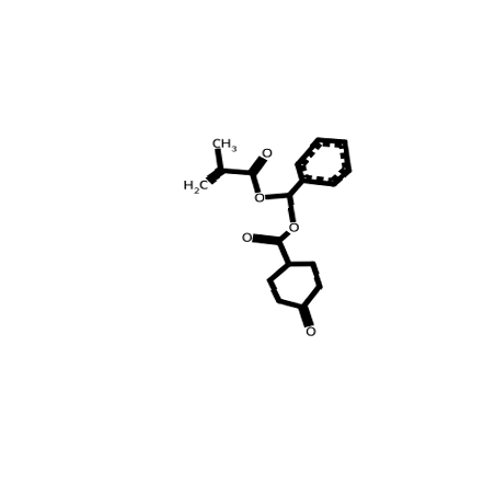 C=C(C)C(=O)OC(OC(=O)C1CCC(=O)CC1)c1ccccc1